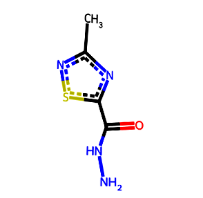 Cc1nsc(C(=O)NN)n1